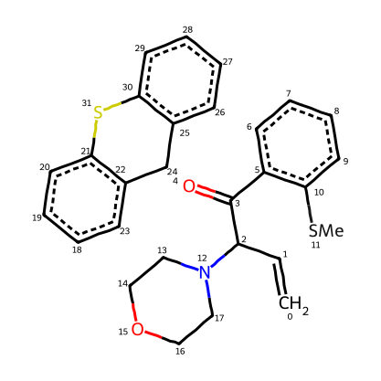 C=CC(C(=O)c1ccccc1SC)N1CCOCC1.c1ccc2c(c1)Cc1ccccc1S2